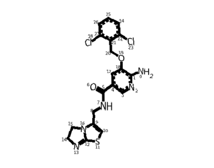 Nc1ncc(C(=O)NCC2=CSC3=NCCN23)cc1OCc1c(Cl)cccc1Cl